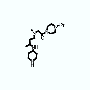 CC(CCN(C)CC(=O)N1CCN(C(C)C)CC1)NC1CCNCC1